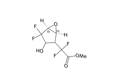 COC(=O)C(F)(F)C1C(O)C(F)(F)[C@H]2O[C@@H]12